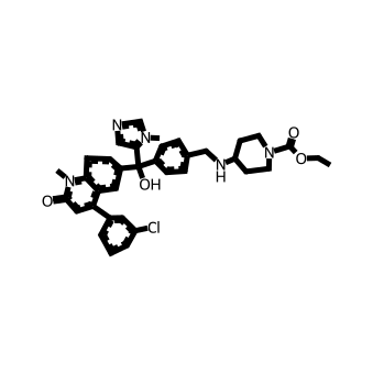 CCOC(=O)N1CCC(NCc2ccc(C(O)(c3ccc4c(c3)c(-c3cccc(Cl)c3)cc(=O)n4C)c3cncn3C)cc2)CC1